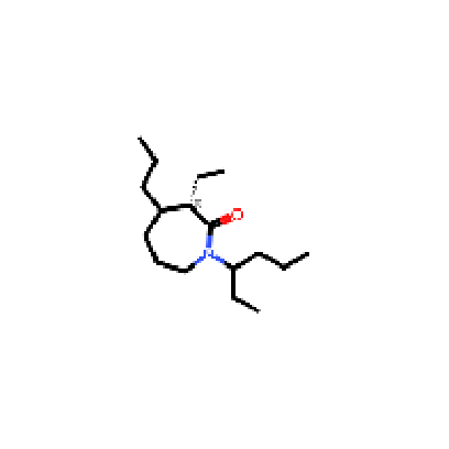 CCCC1CCCN(C(CC)CCC)C(=O)[C@H]1CC